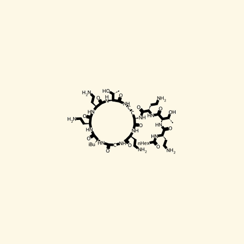 CCCCCCC(=O)N[C@@H](CCN)C(=O)N[C@H](C(=O)N[C@@H](CCN)C(=O)N[C@H]1CCNC(=O)[C@H]([C@@H](C)O)NC(=O)[C@H](CCN)NC(=O)[C@H](CCN)NC(=O)[C@H]([C@@H](C)CC)NC(=O)CNC(=O)[C@H](CCN)NC1=O)[C@@H](C)O